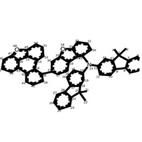 CC1(C)c2ccccc2-c2ccc(N(c3ccc4c(c3)C(C)(C)c3ccccc3-4)c3cccc4oc5cc(-c6cccc7c8cccc9oc%10cccc(c67)c%10c98)ccc5c34)cc21